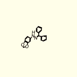 c1ccc(C(=NNc2ccc3c(c2)OCO3)c2ccccc2)cc1